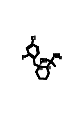 CC(C)(N)[C@H]1CCCC[C@@]1(O)Cc1ccc(Cl)cc1F